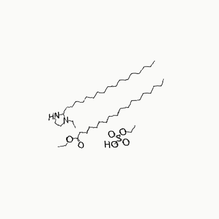 CCCCCCCCCCCCCCCCCC(=O)OCC.CCCCCCCCCCCCCCCCCC1NCCN1CC.CCOS(=O)(=O)O